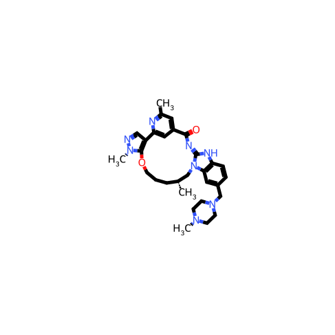 Cc1cc2cc(n1)-c1cnn(C)c1OCCC[C@@H](C)CN1/C(=N/C2=O)Nc2ccc(CN3CCN(C)CC3)cc21